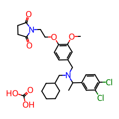 COc1cc(CN(CC2CCCCC2)C(C)c2ccc(Cl)c(Cl)c2)ccc1OCCN1C(=O)CCC1=O.O=C(O)O